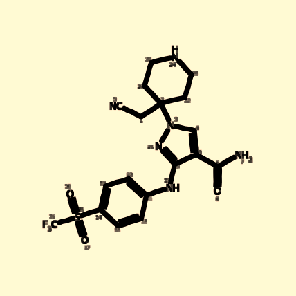 N#CCC1(n2cc(C(N)=O)c(Nc3ccc(S(=O)(=O)C(F)(F)F)cc3)n2)CCNCC1